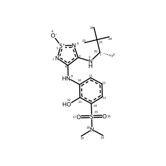 C[C@H](Nc1n[s+]([O-])nc1Nc1cccc(S(=O)(=O)N(C)C)c1O)C(C)(C)C